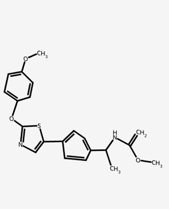 C=C(NC(C)c1ccc(-c2cnc(Oc3ccc(OC)cc3)s2)cc1)OC